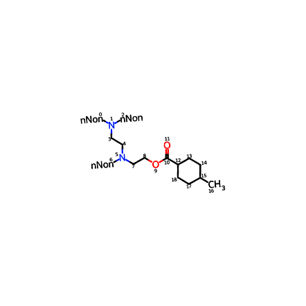 CCCCCCCCCN(CCCCCCCCC)CCN(CCCCCCCCC)CCOC(=O)C1CCC(C)CC1